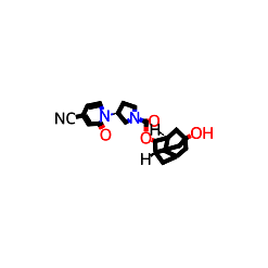 N#Cc1ccn([C@@H]2CCN(C(=O)OC3[C@@H]4CC5C[C@H]3CC(O)(C5)C4)C2)c(=O)c1